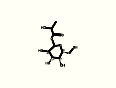 CC(O)C(=O)OC1O[C@H](CO)[C@H](O)[C@H](O)[C@H]1O